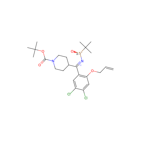 C=CCOc1cc(Cl)c(Cl)cc1/C(=N/[S@@+]([O-])C(C)(C)C)C1CCN(C(=O)OC(C)(C)C)CC1